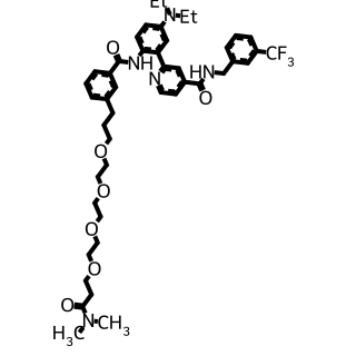 CCN(CC)c1ccc(NC(=O)c2cccc(CCCOCCOCCOCCOCCC(=O)N(C)C)c2)c(-c2cc(C(=O)NCc3cccc(C(F)(F)F)c3)ccn2)c1